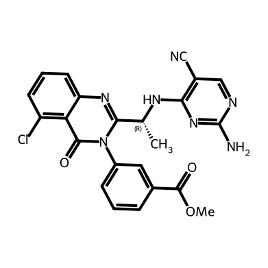 COC(=O)c1cccc(-n2c([C@@H](C)Nc3nc(N)ncc3C#N)nc3cccc(Cl)c3c2=O)c1